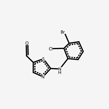 O=Cc1cnc(Nc2cccc(Br)c2Cl)s1